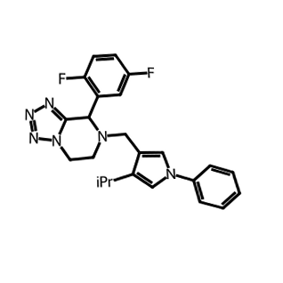 CC(C)c1cn(-c2ccccc2)cc1CN1CCn2nnnc2C1c1cc(F)ccc1F